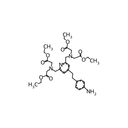 CCOC(=O)CN(CC(=O)OCC)Cc1cc(CCc2ccc(N)cc2)cc(CN(CC(=O)OCC)CC(=O)OCC)n1